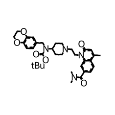 Cc1cc(=O)n(CCN2CCC(N(Cc3ccc4c(c3)OCCO4)C(=O)OC(C)(C)C)CC2)c2cc(C(=O)N(C)C)ccc12